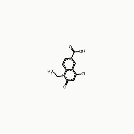 CCn1c(=O)cc(Cl)c2cc(C(=O)O)ccc21